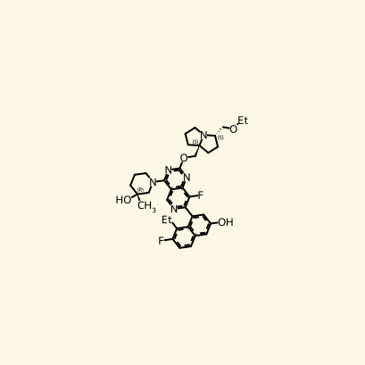 CCOC[C@@H]1CC[C@]2(COc3nc(N4CCC[C@@](C)(O)C4)c4cnc(-c5cc(O)cc6ccc(F)c(CC)c56)c(F)c4n3)CCCN12